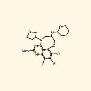 CSc1nc2c3c(c(Cl)c(Br)c(F)c3n1)OCC(OC1CCCCO1)CN2C1CCOC1